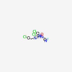 O=C(NCc1ccnc(F)c1)N1CC2(CCN(CC=Cc3ccc(Cl)cc3)CC2)c2c1ccc(Cl)c2Cl